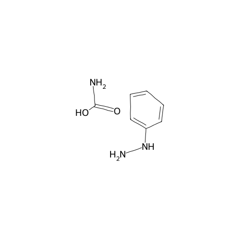 NC(=O)O.NNc1ccccc1